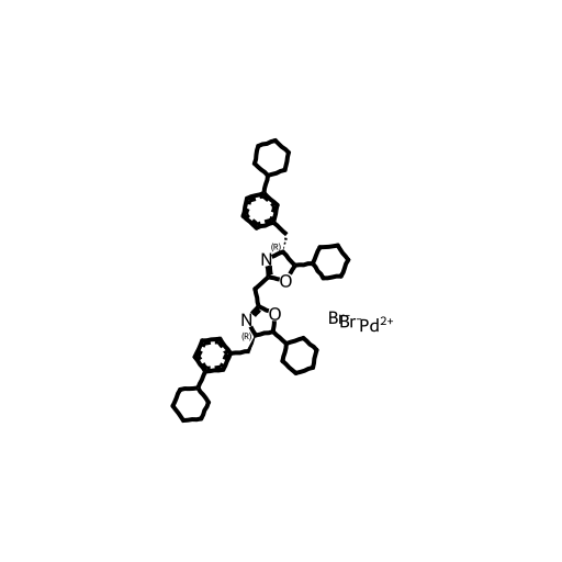 [Br-].[Br-].[Pd+2].c1cc(C[C@H]2N=C(CC3=N[C@H](Cc4cccc(C5CCCCC5)c4)C(C4CCCCC4)O3)OC2C2CCCCC2)cc(C2CCCCC2)c1